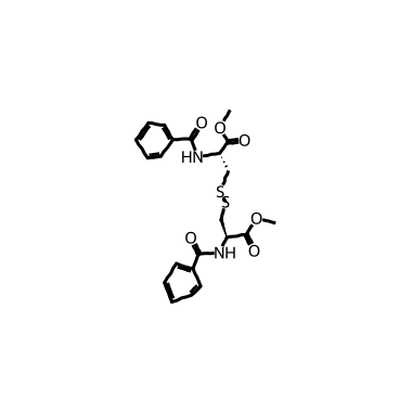 COC(=O)[C@H](CSSC[C@H](NC(=O)c1ccccc1)C(=O)OC)NC(=O)c1ccccc1